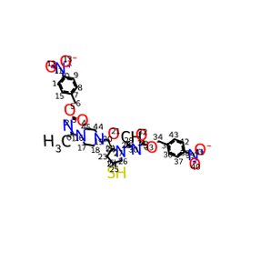 CC(=NC(=O)OCc1ccc([N+](=O)[O-])cc1)N1CCN(C(=O)[C@@H]2C[C@H](S)CN2C(C)=NC(=O)OCc2ccc([N+](=O)[O-])cc2)CC1